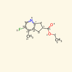 CCOC(=O)C1Cc2ncc(F)c(C)c2C1